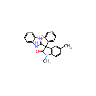 Cc1ccc2c(c1)C(c1nc3ccccc3[nH]1)(c1ccccc1O)C(=O)N2C